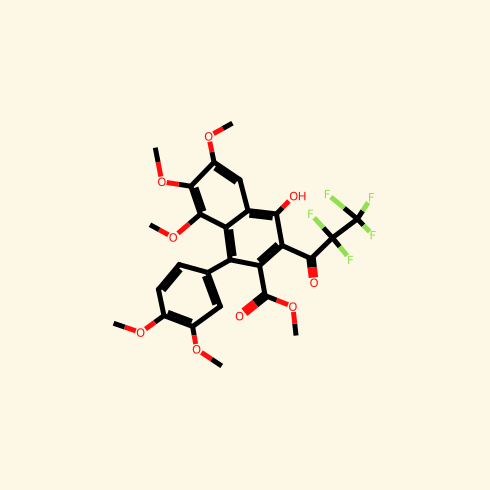 COC(=O)c1c(C(=O)C(F)(F)C(F)(F)F)c(O)c2cc(OC)c(OC)c(OC)c2c1-c1ccc(OC)c(OC)c1